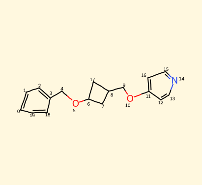 c1ccc(COC2CC(COc3ccncc3)C2)cc1